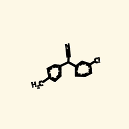 Cc1ccc(C(C#N)c2cccc(Cl)c2)cc1